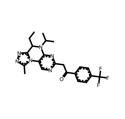 CCC1c2nnc(C)n2-c2cnc(CC(=O)c3ccc(C(F)(F)F)cc3)nc2N1C(C)C